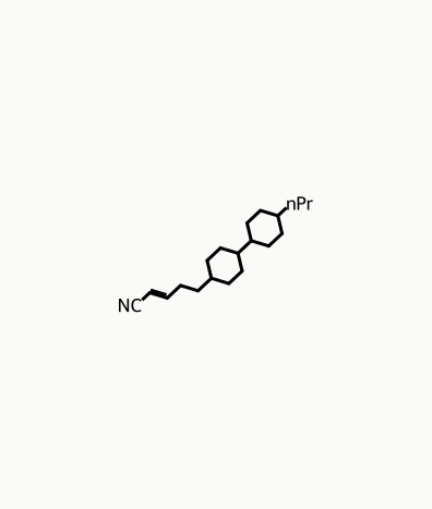 CCCC1CCC(C2CCC(CCC=CC#N)CC2)CC1